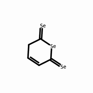 [Se]=C1C=CCC(=[Se])[Se]1